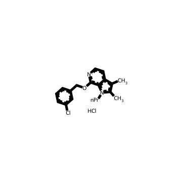 CCCn1c(C)c(C)c2ccnc(OCc3cccc(Cl)c3)c21.Cl